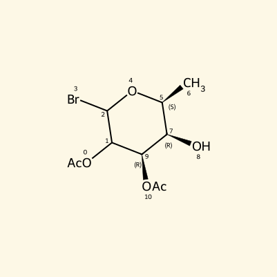 CC(=O)OC1C(Br)O[C@@H](C)[C@@H](O)[C@H]1OC(C)=O